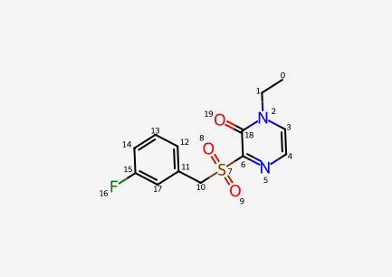 CCn1ccnc(S(=O)(=O)Cc2cccc(F)c2)c1=O